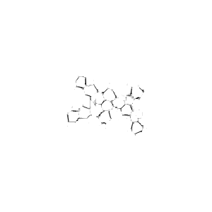 c1ccc2cc(N(c3ccc4ccccc4c3)c3c4ccccc4c(-c4cc5c6ccccc6oc5c5c4sc4ccccc45)c4ccccc34)ccc2c1